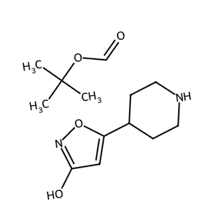 CC(C)(C)OC=O.Oc1cc(C2CCNCC2)on1